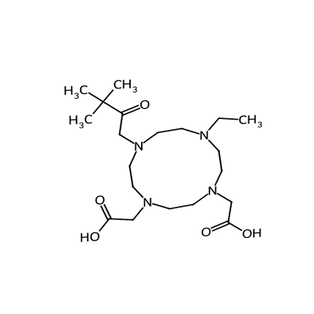 CCN1CCN(CC(=O)O)CCN(CC(=O)O)CCN(CC(=O)C(C)(C)C)CC1